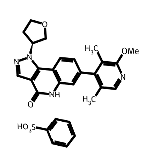 COc1ncc(C)c(-c2ccc3c(c2)[nH]c(=O)c2cnn([C@H]4CCOC4)c23)c1C.O=S(=O)(O)c1ccccc1